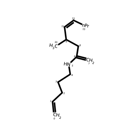 C=CCCCNC(=C)CC(C)/C=C\CCC